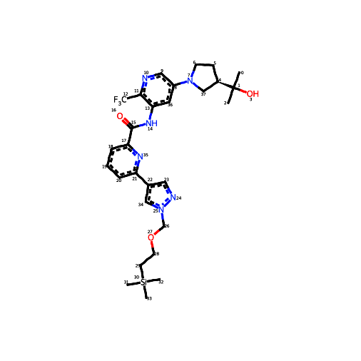 CC(C)(O)[C@@H]1CCN(c2cnc(C(F)(F)F)c(NC(=O)c3cccc(-c4cnn(COCC[Si](C)(C)C)c4)n3)c2)C1